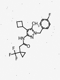 Cc1c(C2CCC2)c(NC(=O)CC2(C(F)(F)F)CC2)nn1Cc1ccc(F)cc1